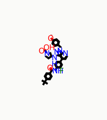 COc1ccc(Cn2nc(NC3CCN(C(=O)O)C3)c3c(-c4ccc(NC(=O)c5ccc(C(C)(C)C)cc5)c(F)c4)ccnc32)cc1